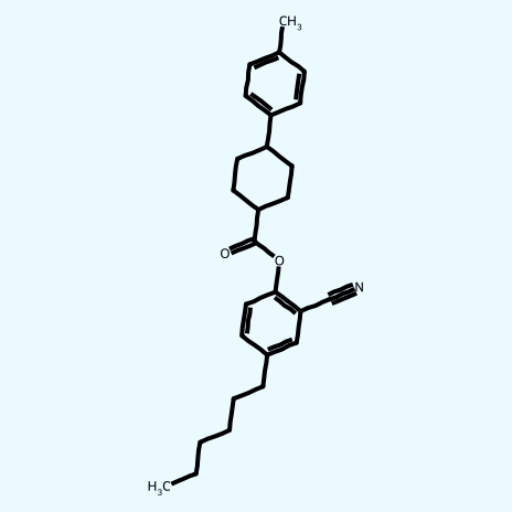 CCCCCCc1ccc(OC(=O)C2CCC(c3ccc(C)cc3)CC2)c(C#N)c1